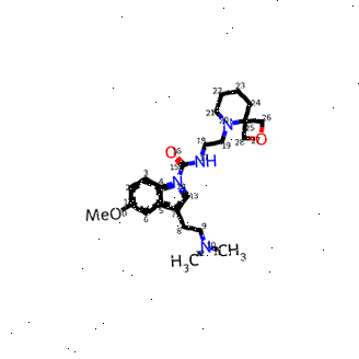 COc1ccc2c(c1)c(CCN(C)C)cn2C(=O)NCCN1CCCCC12COC2